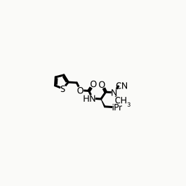 CC(C)C[C@@H](NC(=O)OCc1cccs1)C(=O)N(C)C#N